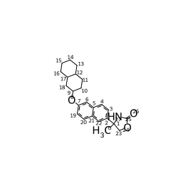 CC1(c2ccc3cc(OC4CCC5CCCCC5C4)ccc3c2)COC(=O)N1